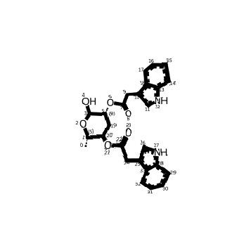 C[C@@H]1OC(O)[C@H](OC(=O)Cc2c[nH]c3ccccc23)CC1OC(=O)Cc1c[nH]c2ccccc12